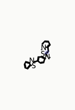 CN1/C(=C/c2cccc[n+]2C)Sc2cc(-c3nc4ccccc4s3)ccc21